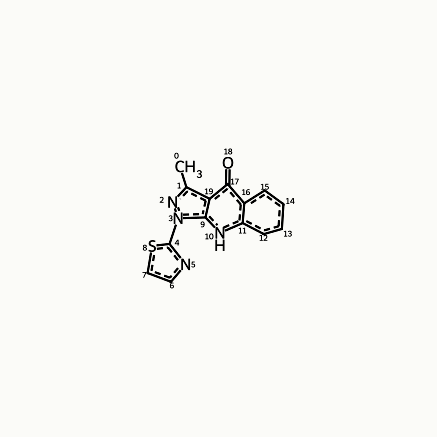 Cc1nn(-c2nccs2)c2[nH]c3ccccc3c(=O)c12